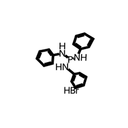 Br.c1ccc(NP(Nc2ccccc2)Nc2ccccc2)cc1